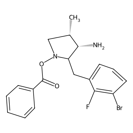 C[C@H]1CN(OC(=O)c2ccccc2)C(Cc2cccc(Br)c2F)[C@H]1N